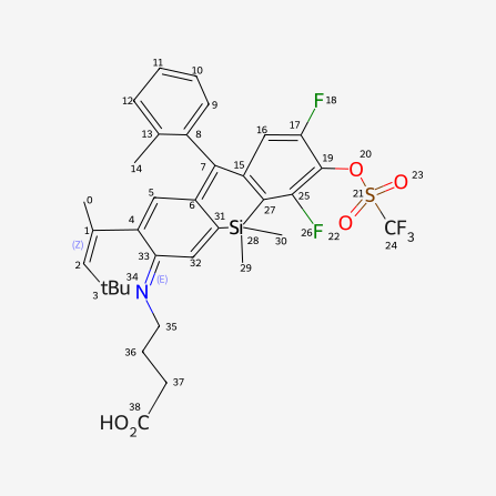 C/C(=C/C(C)(C)C)C1=CC2=C(c3ccccc3C)c3cc(F)c(OS(=O)(=O)C(F)(F)F)c(F)c3[Si](C)(C)C2=C/C1=N\CCCC(=O)O